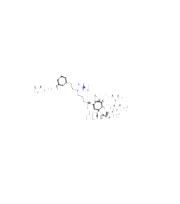 CCCCCCCCCCCCC(C#N)(CCCC(CCc1cccc(OC)c1)/N=N/C)c1cc(OC)c(OC)c(OC)c1